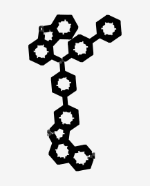 c1ccc(-c2ccc(N(c3ccc(-c4ccc5c(c4)sc4ccc6ccncc6c45)cc3)c3cccc4oc5ccccc5c34)cc2)cc1